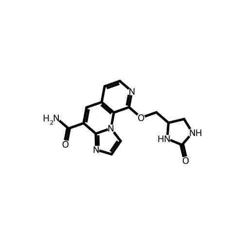 NC(=O)c1cc2ccnc(OCC3CNC(=O)N3)c2n2ccnc12